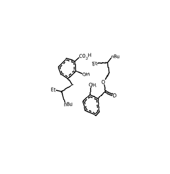 CCCCC(CC)COC(=O)c1ccccc1O.CCCCC(CC)Cc1cccc(C(=O)O)c1O